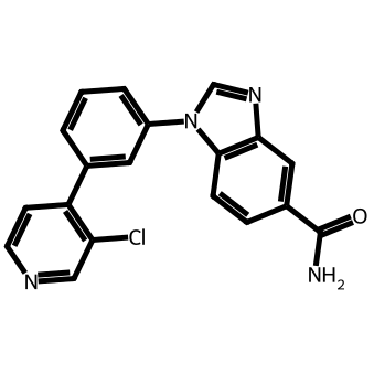 NC(=O)c1ccc2c(c1)ncn2-c1cccc(-c2ccncc2Cl)c1